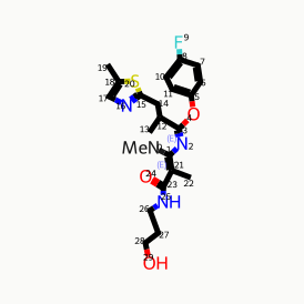 CNC(/N=C(/Oc1ccc(F)cc1)C(C)Cc1ncc(C)s1)=C(/C)C(=O)NCCCO